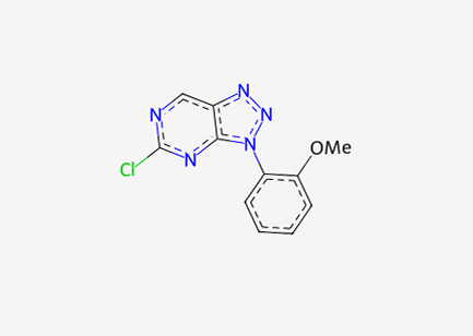 COc1ccccc1-n1nnc2cnc(Cl)nc21